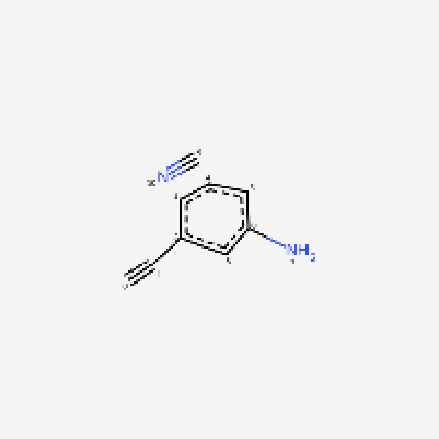 C#Cc1cccc(N)c1.C#N